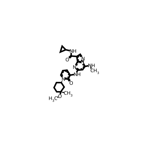 CNc1cc(Nc2cccn([C@H]3CCC[C@@](C)(OC)C3)c2=O)nc2c(C(=O)NC3CC3)cnn12